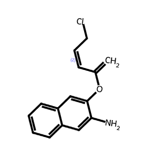 C=C(/C=C\CCl)Oc1cc2ccccc2cc1N